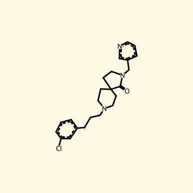 O=C1N(Cc2cccnc2)CCC12CCN(CC[CH]c1cccc(Cl)c1)CC2